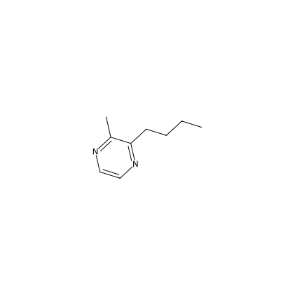 CCCCc1nccnc1C